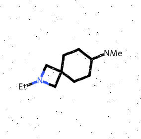 CCN1CC2(CCC(NC)CC2)C1